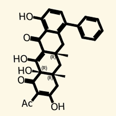 CC(=O)C1=C(O)C[C@@]2(C)C[C@@]3(C)Cc4c(-c5ccccc5)ccc(O)c4C(=O)C3=C(O)[C@@]2(O)C1=O